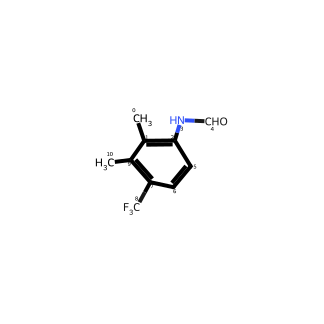 Cc1c(NC=O)ccc(C(F)(F)F)c1C